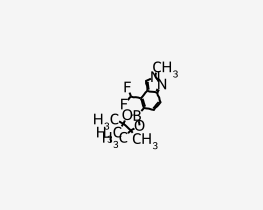 Cn1cc2c(C(F)F)c(B3OC(C)(C)C(C)(C)O3)ccc2n1